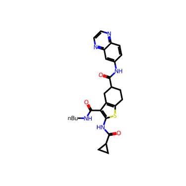 CCCCNC(=O)c1c(NC(=O)C2CC2)sc2c1CC(C(=O)Nc1ccc3nccnc3c1)CC2